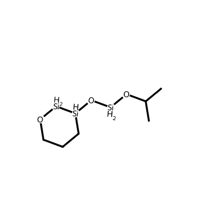 CC(C)O[SiH2]O[SiH]1CCCO[SiH2]1